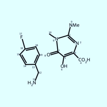 CNc1nc(C(=O)O)c(O)c(=O)n1C.NCc1ccc(F)cc1